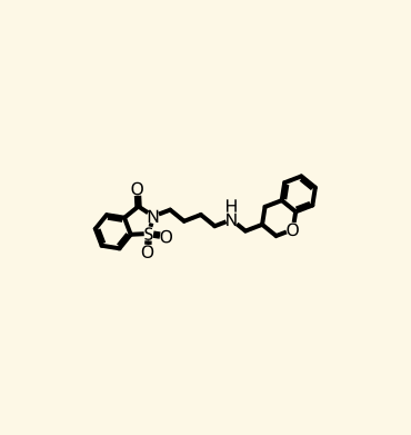 O=C1c2ccccc2S(=O)(=O)N1CCCCNCC1COc2ccccc2C1